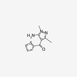 Cc1nn(C)c(N)c1C(=O)c1cccs1